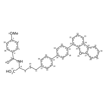 COc1ccc(C(=O)NC(CSCc2ccc(-c3ccc(-c4cccc5c4oc4ccccc45)cc3)cc2)C(=O)O)cc1